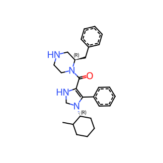 CC1CCCC[C@H]1N1CNC(C(=O)N2CCNC[C@H]2Cc2ccccc2)=C1c1ccccc1